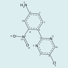 Nc1ccc(-c2ncc(Cl)cn2)c([N+](=O)[O-])c1